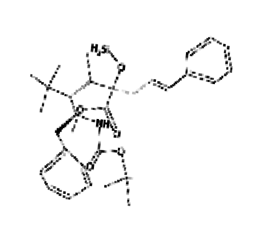 COC(=O)[C@](CC=Cc1ccccc1)(O[SiH3])C(C)[C@H]([C@H](Cc1ccccc1)NC(=O)OC(C)(C)C)C(C)(C)C